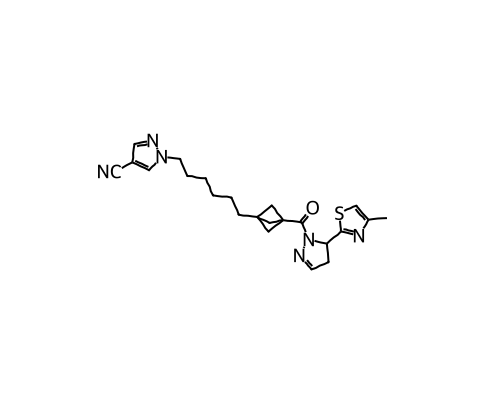 Cc1csc(C2CC=NN2C(=O)C23CC(CCCCCCn4cc(C#N)cn4)(C2)C3)n1